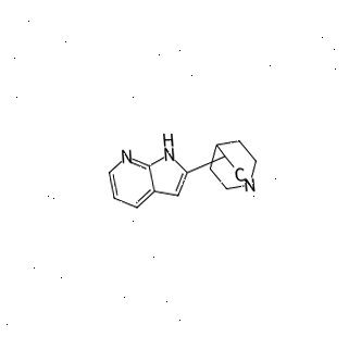 c1cnc2[nH]c(C3CN4CCC3CC4)cc2c1